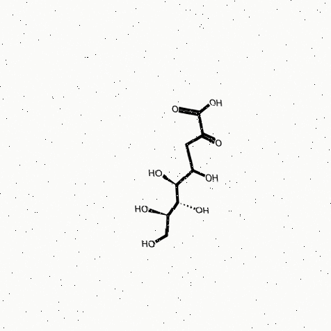 O=C(O)C(=O)CC(O)[C@H](O)[C@H](O)[C@H](O)CO